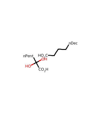 CCCCCC(O)(O)C(=O)O.CCCCCCCCCCCCCC(=O)O